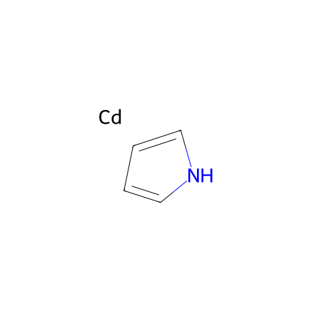 [Cd].c1cc[nH]c1